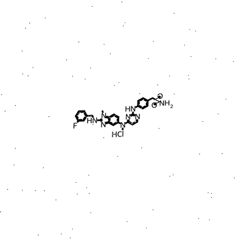 CN(c1ccc2c(c1)nc(NCc1cccc(F)c1)n2C)c1ccnc(Nc2ccc(CS(N)(=O)=O)cc2)n1.Cl